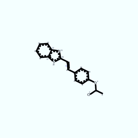 CC(Cl)Oc1ccc(/C=C/c2nc3ccccc3s2)cc1